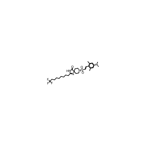 Cc1cc(N(C)C)cc(C)c1/C=C/S(=O)(=O)N1CCC2(CC1)N=C(CCCCCCCCC(F)(F)F)NC2=O